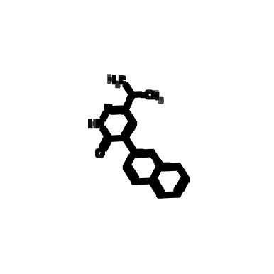 CC(C)c1cc(-c2ccc3ccccc3c2)c(=O)[nH]n1